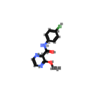 O=C(O)Oc1nccnc1C(=O)Nc1ccc(Cl)cc1